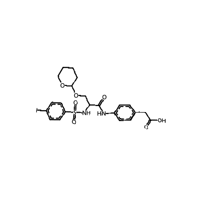 O=C(O)Cc1ccc(NC(=O)C(COC2CCCCO2)NS(=O)(=O)c2ccc(I)cc2)cc1